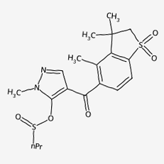 CCCS(=O)Oc1c(C(=O)c2ccc3c(c2C)C(C)(C)CS3(=O)=O)cnn1C